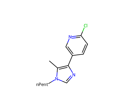 CCCCCn1cnc(-c2ccc(Cl)nc2)c1C